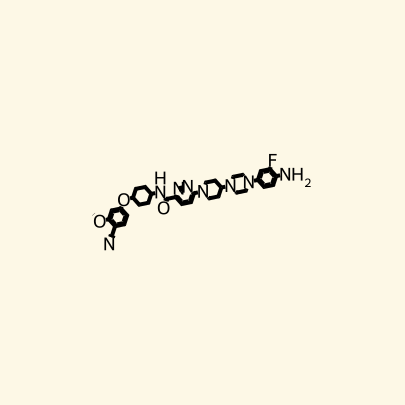 COc1cc(OC2CCC(NC(=O)c3ccc(N4CCC(N5CCN(c6ccc(N)c(F)c6)CC5)CC4)nn3)CC2)ccc1C#N